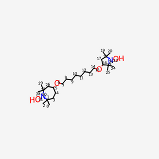 CC1(C)CCC(OCCCCCCCCOC2CC(C)(C)N(O)C2(C)C)CC(C)(C)N1O